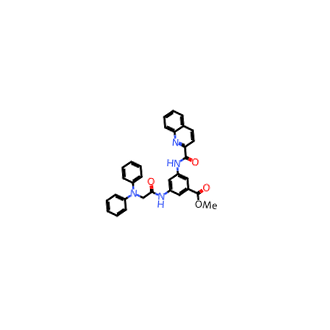 COC(=O)c1cc(NC(=O)CN(c2ccccc2)c2ccccc2)cc(NC(=O)c2ccc3ccccc3n2)c1